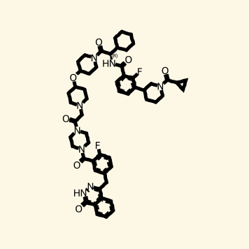 O=C(N[C@@H](C(=O)N1CCC(OC2CCN(CC(=O)N3CCN(C(=O)c4cc(Cc5n[nH]c(=O)c6ccccc56)ccc4F)CC3)CC2)CC1)C1CCCCC1)c1cccc(C2CCCN(C(=O)C3CC3)C2)c1F